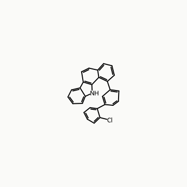 Clc1ccccc1-c1cccc(-c2cccc3ccc4c5ccccc5[nH]c4c23)c1